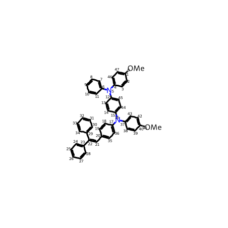 COc1ccc(N(c2ccccc2)c2ccc(N(c3ccc(C=C(c4ccccc4)c4ccccc4)cc3)c3ccc(OC)cc3)cc2)cc1